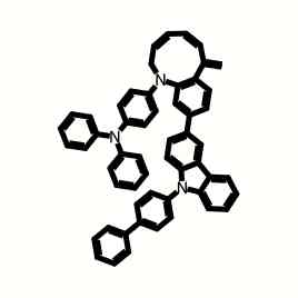 C=C1/C=C\C=C/CN(c2ccc(N(c3ccccc3)c3ccccc3)cc2)c2cc(-c3ccc4c(c3)c3ccccc3n4-c3ccc(-c4ccccc4)cc3)ccc21